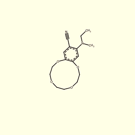 CCN(C)c1cc2c(cc1C#N)OCCOCCOCCO2